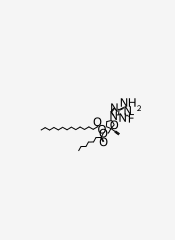 C#CC1(COC(=O)CCCCCC)OC(n2cnc3c(N)nc(F)nc32)CC1OC(=O)CCCCCCCCCCCCC